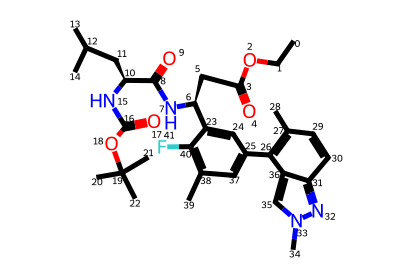 CCOC(=O)C[C@H](NC(=O)[C@H](CC(C)C)NC(=O)OC(C)(C)C)c1cc(-c2c(C)ccc3nn(C)cc23)cc(C)c1F